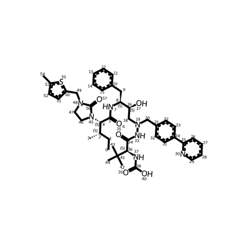 CC[C@H](C)[C@@H](C(=O)N[C@@H](Cc1ccccc1)[C@@H](O)CN(Cc1ccc(-c2ccccn2)cc1)NC(=O)[C@@H](NC(=O)O)C(C)(C)C)N1CCN(Cc2ccc(C)s2)C1=O